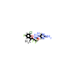 Cc1c(C(F)(NC(=O)Nc2cnc(N)nc2)C(F)F)oc2c(Cl)cc(F)cc12